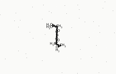 CCN(CC)CCN(C)CCC(=O)OCCOCCOC(=O)CCN(C)CCN(CC)CC